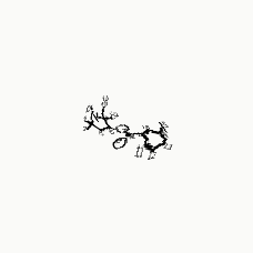 CN1C(C)(C)CC(OC(=O)c2cccc(I)c2)C1(C)C